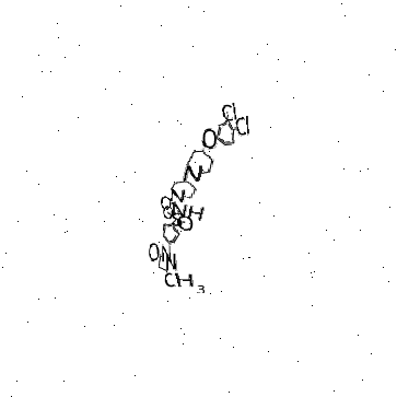 CC1=NN(c2ccc(S(=O)(=O)NC(=O)N3CCC(N4CCC(Oc5ccc(Cl)c(Cl)c5)CC4)CC3)cc2)C(=O)C1